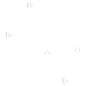 CCC(=O)OCC(Br)Br